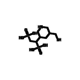 O=P(O)(O)CC(C1CNCC(CS)C1)P(=O)(O)O